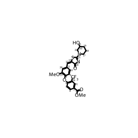 COC(=O)c1ccc(Oc2ccc(C=C3SC(N4CCCC(O)C4)=NC3=O)cc2OC)c(C(F)(F)F)c1